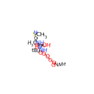 CNC(=O)OCCOCCOCCOCC(=O)NC(C(=O)N1C[C@H](O)C[C@H]1C(=O)NC(C)c1ccc(-c2scnc2C)cc1)C(C)(C)C